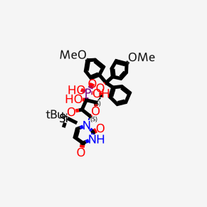 COc1ccc(C(OC[C@@H]2O[C@H](n3ccc(=O)[nH]c3=O)C(O[Si](C)(C)C(C)(C)C)C2(O)P(=O)(O)O)(c2ccccc2)c2ccc(OC)cc2)cc1